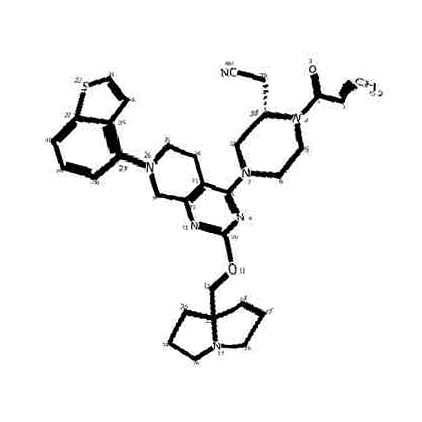 C=CC(=O)N1CCN(c2nc(OCC34CCCN3CCC4)nc3c2CCN(c2cccc4sccc24)C3)C[C@@H]1CC#N